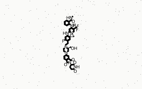 CNC(=O)c1ccccc1Nc1cc(Nc2cc(F)c(CCN3CCN(c4ccc5c(c4)C(=O)N(C4CCC(=O)NC4=O)C5=O)C[C@@H]3CO)cc2OC)ncc1C(F)(F)F